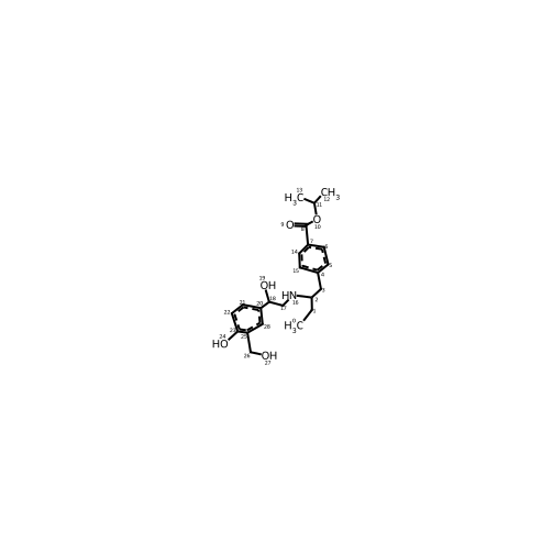 CCC(Cc1ccc(C(=O)OC(C)C)cc1)NCC(O)c1ccc(O)c(CO)c1